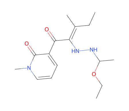 CCOC(C)NN/C(C(=O)c1cccn(C)c1=O)=C(/C)CC